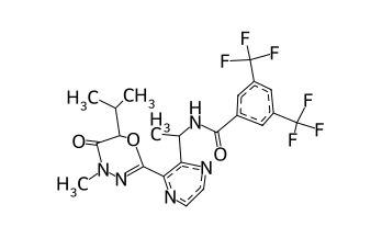 CC(NC(=O)c1cc(C(F)(F)F)cc(C(F)(F)F)c1)c1nccnc1C1=NN(C)C(=O)C(C(C)C)O1